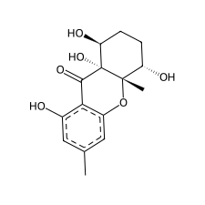 Cc1cc(O)c2c(c1)O[C@@]1(C)[C@@H](O)CC[C@H](O)[C@]1(O)C2=O